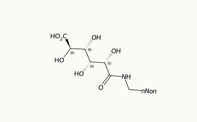 CCCCCCCCCCNC(=O)[C@@H](O)[C@H](O)[C@@H](O)[C@@H](O)C(=O)O